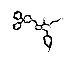 O=C(NCCO)c1c(CN2CCC(c3ccccc3)(c3ccccc3)CC2)ncn1Cc1ccc(Cl)cc1